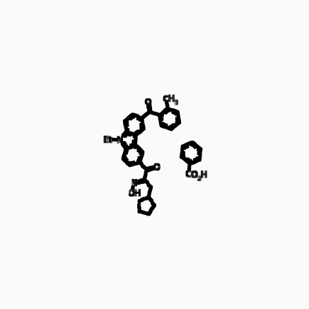 CCn1c2ccc(C(=O)C(CC3CCCC3)=NO)cc2c2cc(C(=O)c3ccccc3C)ccc21.O=C(O)c1ccccc1